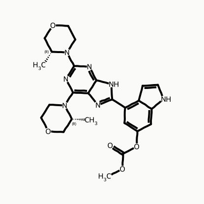 COC(=O)Oc1cc(-c2nc3c(N4CCOC[C@H]4C)nc(N4CCOC[C@H]4C)nc3[nH]2)c2cc[nH]c2c1